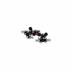 O=S(=O)(O)c1ccc(S(=O)(=O)O)c(Nc2nc(Nc3ccc(/C=C/c4ccc(Nc5nc(Nc6cc(S(=O)(=O)O)ccc6S(=O)(=O)O)nc(Oc6ccccc6)n5)cc4S(=O)(=O)O)c(S(=O)(=O)O)c3)nc(Oc3ccccc3)n2)c1